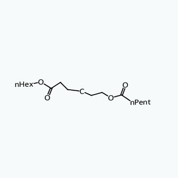 CCCCCCOC(=O)CCCCCOC(=O)CCCCC